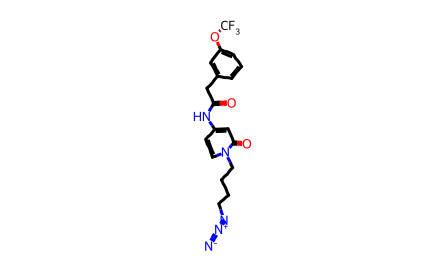 [N-]=[N+]=NCCCCn1ccc(NC(=O)Cc2cccc(OC(F)(F)F)c2)cc1=O